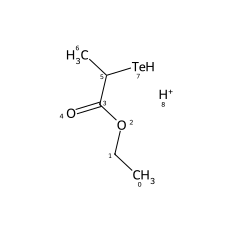 CCOC(=O)C(C)[TeH].[H+]